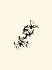 CC1(C)OCC2N=C(CO[Si](C)(C)C(C)(C)C)C(CO1)OC2=O